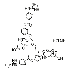 Cl.Cl.N=C(N)Nc1ccc(C(=O)Oc2ccc(C(=O)N[C@@H](CC(=O)O)C(=O)O)c(OCCOCCOc3cc(OC(=O)c4ccc(NC(=N)N)cc4)ccc3C(=O)N[C@@H](CC(=O)O)C(=O)O)c2)cc1